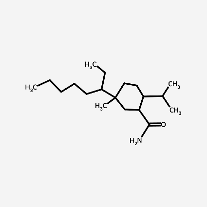 CCCCCC(CC)C1(C)CCC(C(C)C)C(C(N)=O)C1